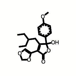 CCC(CC)CC1=C(C2=COCO2)C(=O)OC1(O)c1ccc(OC)cc1